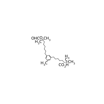 Cc1cc(CCCCCCC(C)(C)OC=O)cc(CCCCCCC(C)(C)C(=O)O)c1